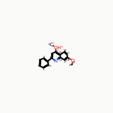 [CH2-][OH+]c1cc(-c2ccccc2)nc2cc(OC)ccc12